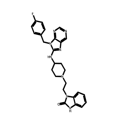 O=c1[nH]c2ccccc2n1CCN1CCC(Nc2nc3cncnc3n2Cc2ccc(F)cc2)CC1